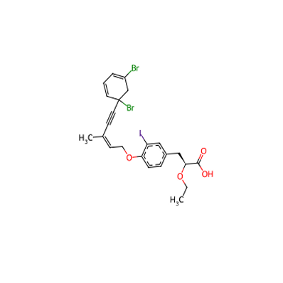 CCO[C@@H](Cc1ccc(OCC=C(C)C#CC2(Br)C=CC=C(Br)C2)c(I)c1)C(=O)O